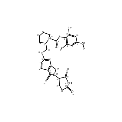 COc1cc(F)c(CC(=O)N2CCCC[C@@H]2COc2ccc3c(c2)CN(C2CCC(=O)NC2=O)C3=O)c(F)c1